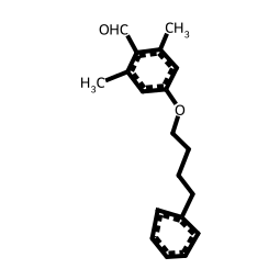 Cc1cc(OCCCCc2ccccc2)cc(C)c1C=O